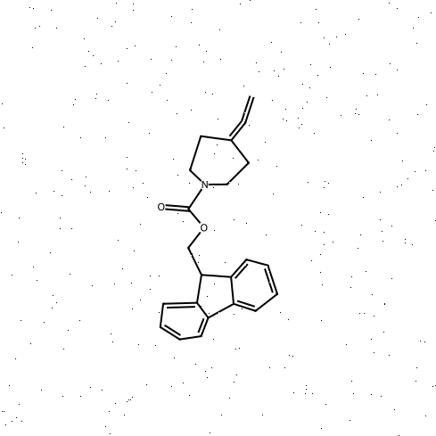 C=C=C1CCN(C(=O)OCC2c3ccccc3-c3ccccc32)CC1